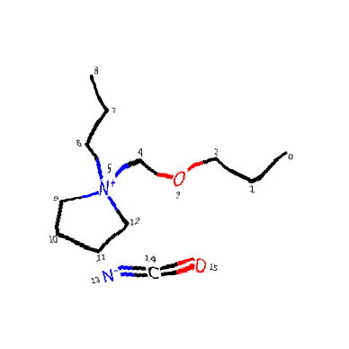 CCCOC[N+]1(CCC)CCCC1.[N-]=C=O